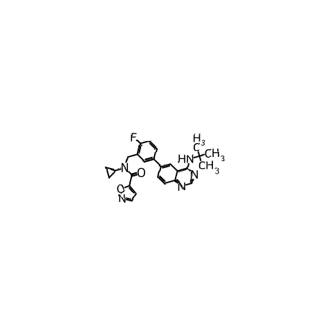 CC(C)(C)Nc1ncnc2ccc(-c3ccc(F)c(CN(C(=O)c4ccno4)C4CC4)c3)cc12